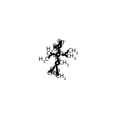 C=CC(=O)OCCN(CCOC(=O)CC)C1C=CC(/N=N/C2=CC(OCC(CC)CCCC)C(/N=N/C3C=CC([N+](=O)[O-])CC3[N+](=O)[O-])C=C2OCC(CC)CCCC)=C(C)C1